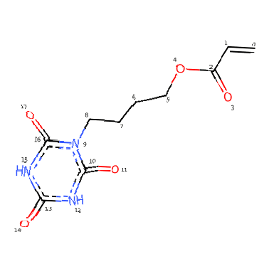 C=CC(=O)OCCCCn1c(=O)[nH]c(=O)[nH]c1=O